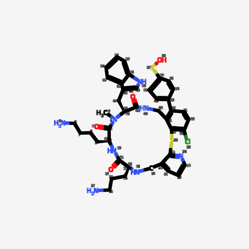 CN1C(=O)[C@H](CCCCN)NC(=O)[C@H](CCCN)NCc2cccnc2Sc2c(Cl)ccc(-c3ccc(SO)cc3)c2CNC(=O)[C@@H]1Cc1c[nH]c2ccccc12